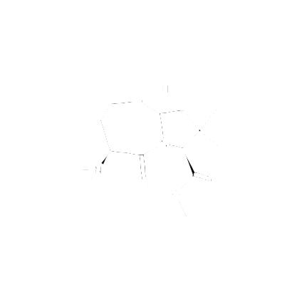 COC(=O)[C@H]1N2C(=O)[C@@H](N)CCO[C@H]2CC1(C)C